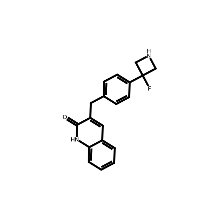 O=c1[nH]c2ccccc2cc1Cc1ccc(C2(F)CNC2)cc1